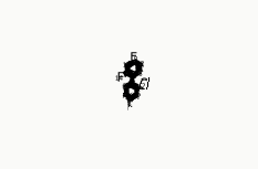 Fc1c[c]c(-c2ccc(F)cc2Cl)c(F)c1